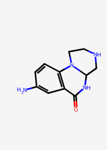 Nc1ccc2c(c1)C(=O)NC1CNCCN21